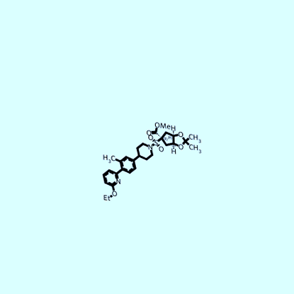 CCOc1cccc(-c2ccc(C3CCN(S(=O)(=O)[C@]4(C(=O)OC)C[C@@H]5OC(C)(C)O[C@@H]5C4)CC3)cc2C)n1